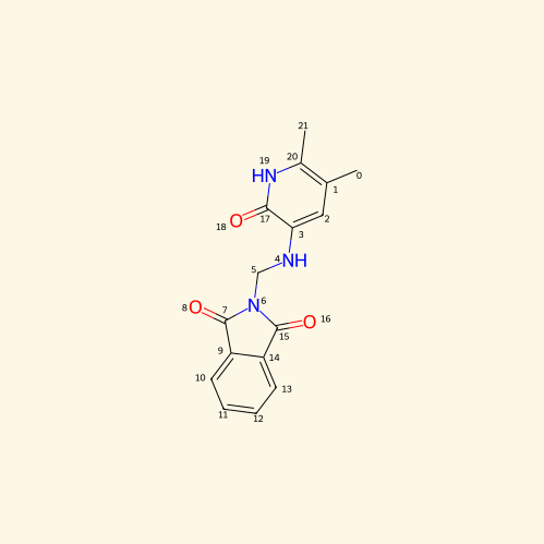 Cc1cc(NCN2C(=O)c3ccccc3C2=O)c(=O)[nH]c1C